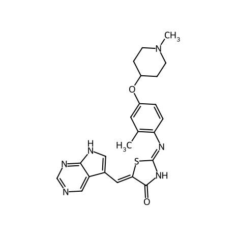 Cc1cc(OC2CCN(C)CC2)ccc1/N=C1/NC(=O)/C(=C/c2c[nH]c3ncncc23)S1